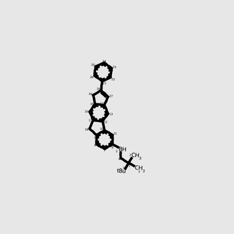 CC(C)(C)C(C)(C)CBc1ccc2c(c1)-c1cc3c(cc1C2)CC(c1ccccc1)=C3